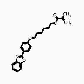 C=C(C)C(=O)OCCCCCCOc1ccc(-c2nc3ccccc3o2)cc1